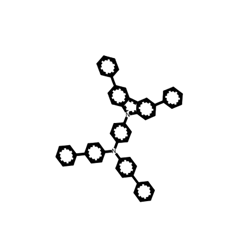 c1ccc(-c2ccc(N(c3ccc(-c4ccccc4)cc3)c3ccc(-n4c5ccc(-c6ccccc6)cc5c5cc(-c6ccccc6)ccc54)cc3)cc2)cc1